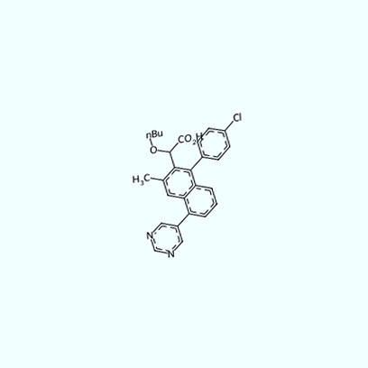 CCCCOC(C(=O)O)c1c(C)cc2c(-c3cncnc3)cccc2c1-c1ccc(Cl)cc1